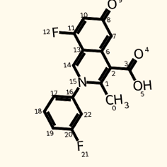 Cc1c(C(=O)O)c2cc(=O)cc(F)c-2cn1-c1cccc(F)c1